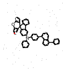 c1ccc(-c2cccc3c(-c4ccc(N(c5ccccc5)c5ccc6c(c5)-c5ccccc5C65c6ccccc6Oc6ccccc65)cc4)cccc23)cc1